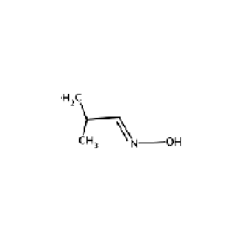 [CH2]C(C)C=NO